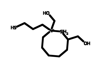 OCC1CCCCC[N+](CO)(CCCS)[SiH2]1